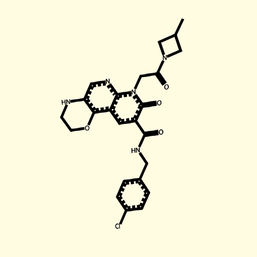 CC1CN(C(=O)Cn2c(=O)c(C(=O)NCc3ccc(Cl)cc3)cc3c4c(cnc32)NCCO4)C1